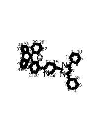 c1ccc(-c2cc(-c3ccccc3)nc(-c3ccc(-c4cccc5c4Oc4ccccc4C54c5ccccc5-c5ccccc54)nc3)n2)cc1